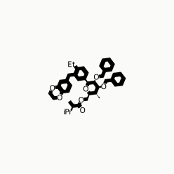 CCc1ccc([C@@H]2O[C@H](COC(=O)[C@H](C)C(C)C)[C@@H](C)[C@H](OCc3ccccc3)[C@H]2OCc2ccccc2)cc1Cc1ccc2c(c1)OCCO2